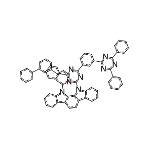 c1ccc(-c2cccc(-c3cccc(-n4c5ccccc5c5ccc6c7ccccc7n(-c7nc(-c8ccccc8)nc(-c8cccc(-c9nc(-c%10ccccc%10)nc(-c%10ccccc%10)n9)c8)n7)c6c54)c3)c2)cc1